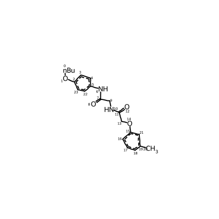 CCCCOc1ccc(NC(=O)CNC(=O)COc2cccc(C)c2)cc1